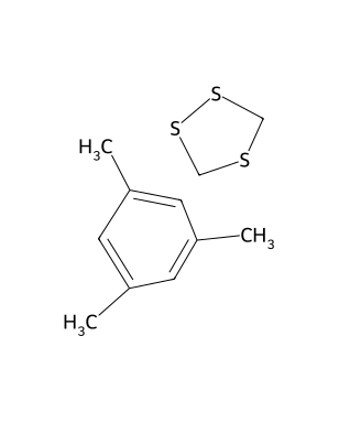 C1SCSS1.Cc1cc(C)cc(C)c1